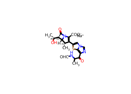 CC(NC=O)C(=O)c1ncn2cc(C3=C(C(=O)[O-])N4C(=O)[C@H]([C@@H](C)O)[C@H]4[C@H]3C)sc12.[Na+]